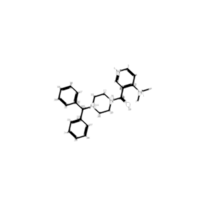 CN(C)c1ccncc1C(=O)N1CCN(C(c2ccccc2)c2ccccc2)CC1